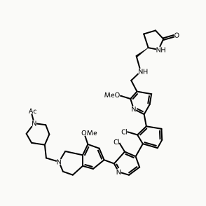 COc1cc(-c2nccc(-c3cccc(-c4ccc(CNC[C@H]5CCC(=O)N5)c(OC)n4)c3Cl)c2Cl)cc2c1CN(CC1CCN(C(C)=O)CC1)CC2